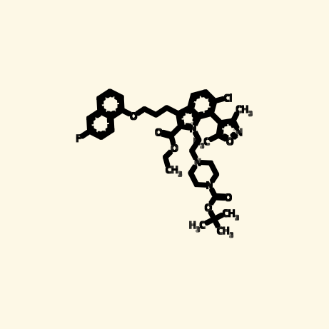 CCOC(=O)c1c(CCCOc2cccc3cc(F)ccc23)c2ccc(Cl)c(-c3c(C)noc3C)c2n1CCN1CCN(C(=O)OC(C)(C)C)CC1